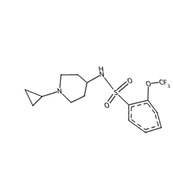 O=S(=O)(NC1CCN(C2CC2)CC1)c1ccccc1OC(F)(F)F